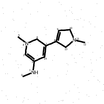 CNC1=CN(C)CC(C2=CCN(C)C2)=C1